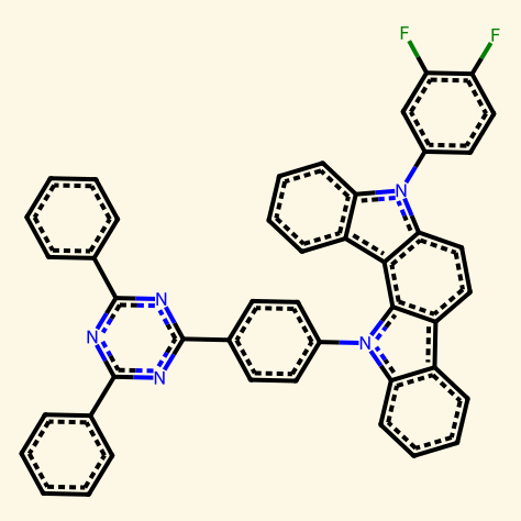 Fc1ccc(-n2c3ccccc3c3c2ccc2c4ccccc4n(-c4ccc(-c5nc(-c6ccccc6)nc(-c6ccccc6)n5)cc4)c23)cc1F